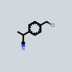 CC(C#N)c1ccc(CCl)cc1